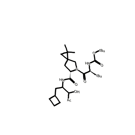 CC(=O)C(O)C(CC1CCC1)NC(=O)[C@@H]1CC2(CN1C(=O)[C@@H](NC(=O)OC(C)(C)C)C(C)(C)C)CC2(C)C